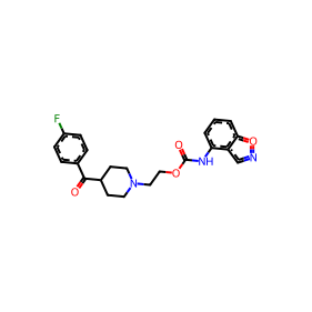 O=C(Nc1cccc2oncc12)OCCN1CCC(C(=O)c2ccc(F)cc2)CC1